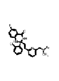 CC(=O)N(C)Cc1cccc(/C=C/[C@@]2(c3ccccc3Cl)NC(=O)c3cc(F)ccc3N2)n1